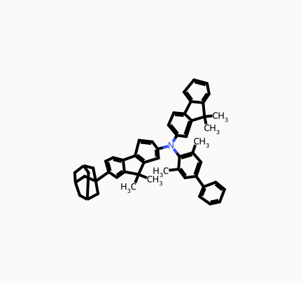 Cc1cc(-c2ccccc2)cc(C)c1N(c1ccc2c(c1)C(C)(C)c1ccccc1-2)c1ccc2c(c1)C(C)(C)c1cc(C34CC5CC(CC(C5)C3)C4)ccc1-2